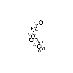 COc1cc(OC)c(NC(=O)Cn2c(=O)n(CC(=O)NC[C@@H](O)c3ccccc3)c(=O)c3ccccc32)cc1Cl